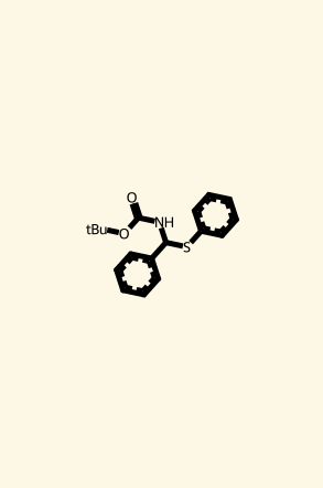 CC(C)(C)OC(=O)NC(Sc1ccccc1)c1ccccc1